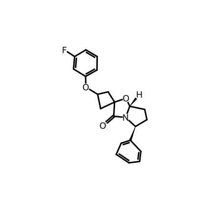 O=C1N2[C@@H](CC[C@H]2c2ccccc2)OC12CC(Oc1cccc(F)c1)C2